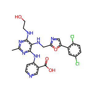 Cc1nc(NCCO)c(NCc2ncc(-c3cc(Cl)ccc3Cl)o2)c(Nc2ccncc2C(=O)O)n1